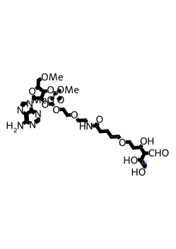 COCC1OC(n2cnc3c(N)ncnc32)C(OCOCCOCCNC(=O)CCCCOCCC(O)C(C=O)/C(O)=C/O)C1OP(=O)(OC)OC